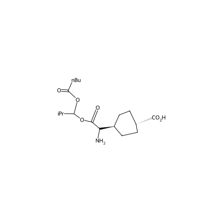 CCCCC(=O)OC(OC(=O)C(N)[C@H]1CC[C@H](C(=O)O)CC1)C(C)C